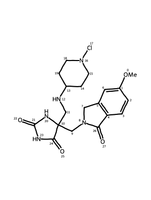 COc1ccc2c(c1)CN(CC1(CNC3CCN(Cl)CC3)NC(=O)NC1=O)C2=O